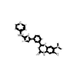 CN(C)c1cc2c(cc1Cl)NC(=O)CC(c1cccc(-c3csc(Nc4ccncc4)n3)c1)=N2